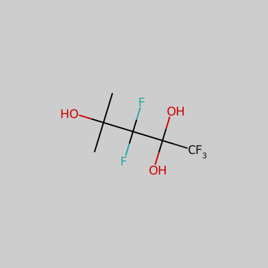 CC(C)(O)C(F)(F)C(O)(O)C(F)(F)F